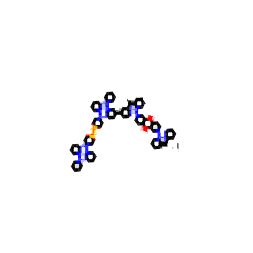 CC1(C)c2ccccc2N(c2ccc3c(c2)C(=O)c2ccc(N4c5ccccc5C(C)(C)c5cc(-c6ccc7c(c6)N(c6ccccc6)c6ccccc6N7c6ccc(S(=O)(=O)c7ccc(N8c9ccccc9N(c9ccccc9)c9ccccc98)cc7)cc6)ccc54)cc2C3=O)c2ccccc21